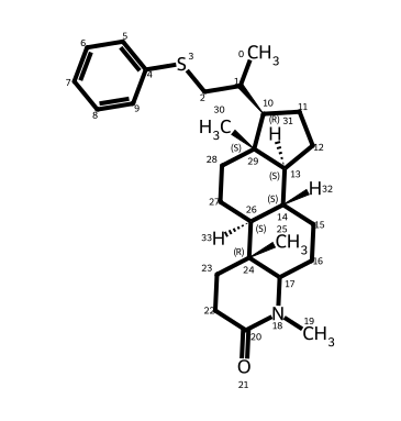 CC(CSc1ccccc1)[C@H]1CC[C@H]2[C@@H]3CCC4N(C)C(=O)CC[C@]4(C)[C@H]3CC[C@]12C